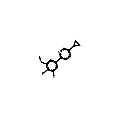 COc1cc(-c2ccc(C3CC3)cn2)cc(F)c1F